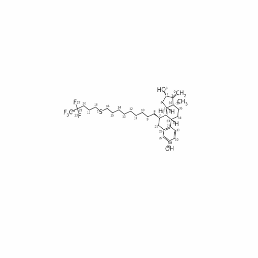 C=C1[C@H](O)C[C@H]2[C@@H]3[C@H](CCCCCCCCCSCCCC(F)(F)C(F)(F)F)Cc4cc(O)ccc4[C@H]3CC[C@]12C